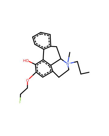 CCC[N+]1(C)CCc2cc(OCCF)c(O)c3c2C1Cc1ccccc1-3